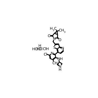 Cc1cc(Cl)nc(-c2ccnc3cc(CN4C(=O)C5C(C4=O)C5(C)C)sc23)c1NC1CNC1.Cl.Cl.Cl.Cl